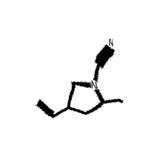 C=CC1CC(C)N(C#N)C1